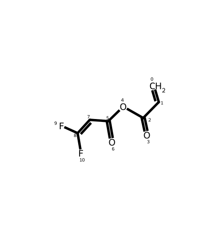 C=CC(=O)OC(=O)C=C(F)F